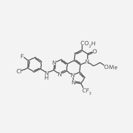 COCCn1c(=O)c(C(=O)O)cc2c3cnc(Nc4ccc(F)c(Cl)c4)nc3n3nc(C(F)(F)F)cc3c21